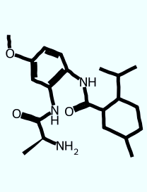 COc1ccc(NC(=O)C2CC(C)CCC2C(C)C)c(NC(=O)[C@H](C)N)c1